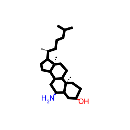 CC(C)CCC[C@@H](C)C1CCC2C3C[C@H](N)C4C[C@@H](O)CC[C@]4(C)C3CC[C@@]21C